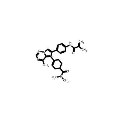 C=C(C)C(=O)Nc1ccc(-c2cn3ncnc(N)c3c2C2=CCC(C(=O)N(C)C)CC2)cc1